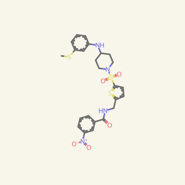 CSc1cccc(NC2CCN(S(=O)(=O)c3ccc(CNC(=O)c4cccc([N+](=O)[O-])c4)s3)CC2)c1